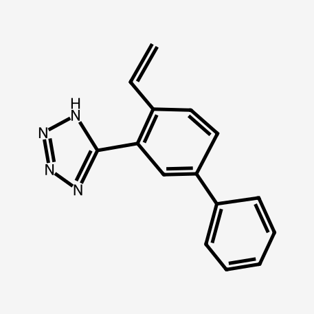 C=Cc1ccc(-c2ccccc2)cc1-c1nnn[nH]1